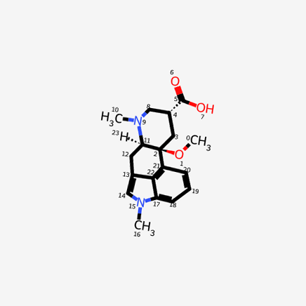 CO[C@]12C[C@@H](C(=O)O)CN(C)[C@@H]1Cc1cn(C)c3cccc2c13